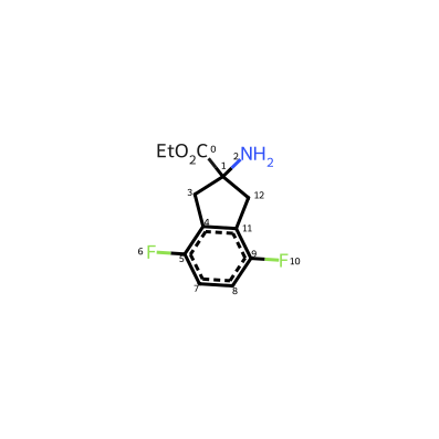 CCOC(=O)C1(N)Cc2c(F)ccc(F)c2C1